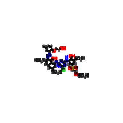 Cc1ccc(OCCO)c(/N=N/c2c(S(=O)(=O)O)cc3cc(S(=O)(=O)O)cc(Nc4nc(Cl)nc(Nc5cc(S(=O)(=O)CCOS(=O)(=O)O)cc(S(=O)(=O)O)c5O)n4)c3c2O)c1